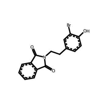 O=C1c2ccccc2C(=O)N1CCc1ccc(O)c(Br)c1